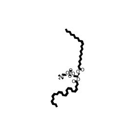 CC/C=C\C/C=C\C/C=C\C/C=C\C/C=C\C/C=C\CCC(=O)O[C@H](COC(=O)CCCCCCCCC/C=C\CCCCCCCC)COP(=O)([O-])OCC[N+](C)(C)C